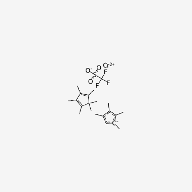 CC1=C(C)C(C)(C)C(C)=C1C.Cc1c[c-](C)c(C)c1C.O=S(=O)([O-])C(F)(F)F.[Cr+2]